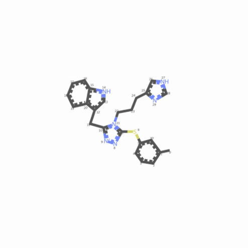 Cc1cccc(Sc2nnc(Cc3c[nH]c4ccccc34)n2CCCc2c[nH]cn2)c1